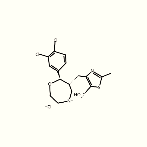 Cc1nc(C[C@@H]2CNCCO[C@H]2c2ccc(Cl)c(Cl)c2)c(C(=O)O)s1.Cl